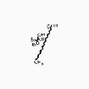 CCCCCCCCC=CCCCCCCCC(=O)O.OCC(O)C(Br)OBr